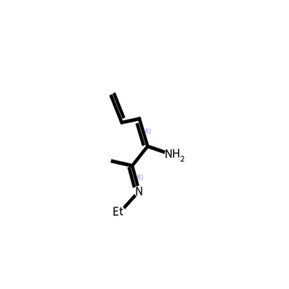 C=C/C=C(N)\C(C)=N\CC